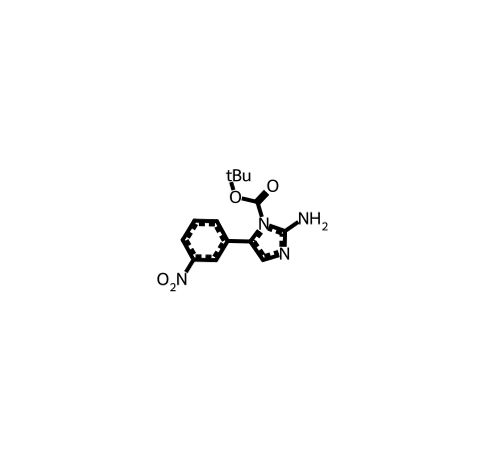 CC(C)(C)OC(=O)n1c(-c2cccc([N+](=O)[O-])c2)cnc1N